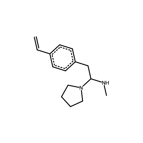 C=Cc1ccc(CC(NC)N2CCCC2)cc1